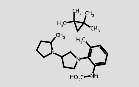 CC1(C)CC1(C)C.Cc1cccc(NC(=O)O)c1N1CCC(N2CCCC2C)C1